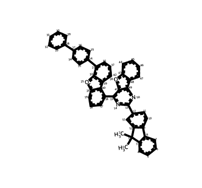 CC1(C)c2ccccc2-c2ccc(-c3nc(-c4cccc5oc6c(-c7ccc(-c8ccccc8)cc7)cccc6c45)c4oc5ccccc5c4n3)cc21